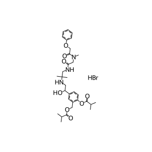 Br.CC(C)C(=O)OCc1cc(C(O)CNC(C)(C)CNC(=O)CN(C)C(=O)COc2ccccc2)ccc1OC(=O)C(C)C